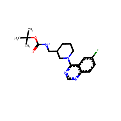 CC(C)(C)OC(=O)NCC1CCCN(c2ncnc3ccc(F)cc23)C1